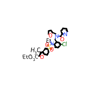 CCOC(=O)c1oc2ccc(S(=O)(=O)N(CC)c3ccc(Cl)cc3CN(Cc3ccco3)C(=O)c3ccccn3)cc2c1C